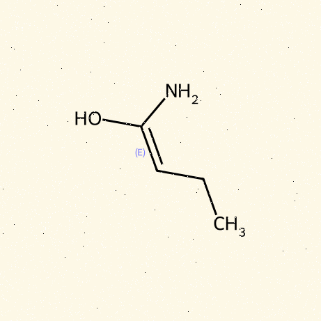 CC/C=C(\N)O